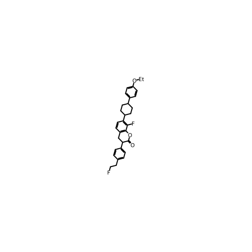 CCOc1ccc(C2CCC(c3ccc4c(c3F)OC(=O)C(c3ccc(CCF)cc3)C4)CC2)cc1